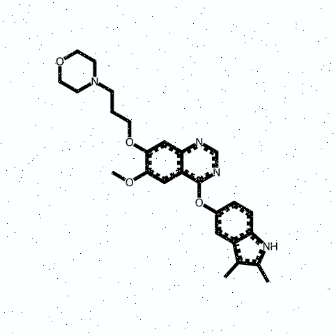 COc1cc2c(Oc3ccc4[nH]c(C)c(C)c4c3)ncnc2cc1OCCCN1CCOCC1